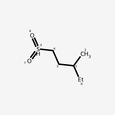 CCC(C)CC[SH](=O)=O